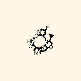 C[C@H]1NC(=O)c2cnn3cc4c(nc23)N(Cc2cc(F)cnc2O1)C(C1CC1)CO4